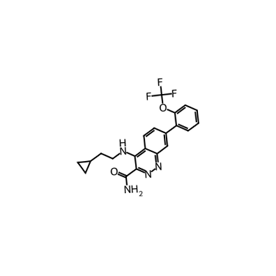 NC(=O)c1nnc2cc(-c3ccccc3OC(F)(F)F)ccc2c1NCCC1CC1